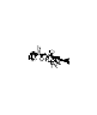 CC(C)c1nn(CC(=O)Nc2ccncn2)c(=O)c2cc(C3CC3)nn12